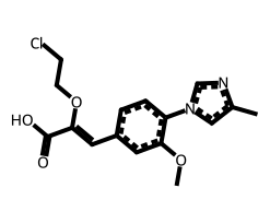 COc1cc(/C=C(\OCCCl)C(=O)O)ccc1-n1cnc(C)c1